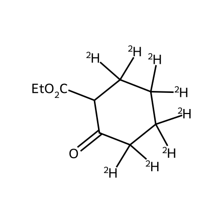 [2H]C1([2H])C(=O)C(C(=O)OCC)C([2H])([2H])C([2H])([2H])C1([2H])[2H]